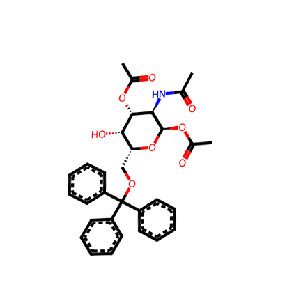 CC(=O)N[C@H]1[C@@H](OC(C)=O)O[C@H](COC(c2ccccc2)(c2ccccc2)c2ccccc2)[C@H](O)[C@@H]1OC(C)=O